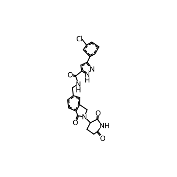 O=C1CCC(N2Cc3cc(CNC(=O)c4cc(-c5cccc(Cl)c5)n[nH]4)ccc3C2=O)C(=O)N1